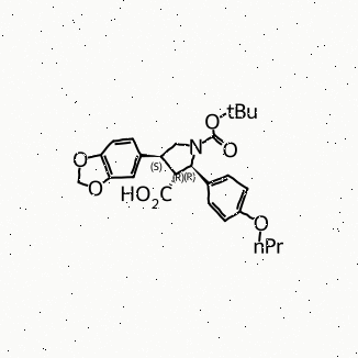 CCCOc1ccc([C@H]2[C@H](C(=O)O)[C@@H](c3ccc4c(c3)OCO4)CN2C(=O)OC(C)(C)C)cc1